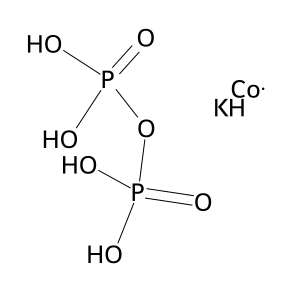 O=P(O)(O)OP(=O)(O)O.[Co].[KH]